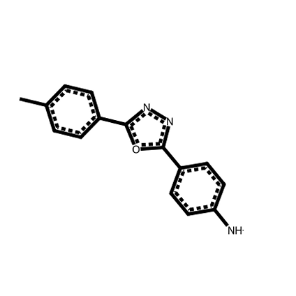 Cc1ccc(-c2nnc(-c3ccc([NH])cc3)o2)cc1